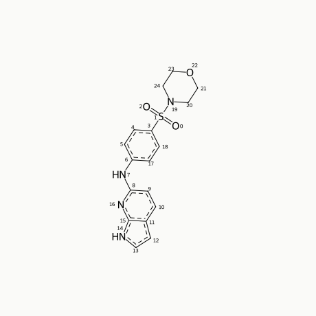 O=S(=O)(c1ccc(Nc2ccc3cc[nH]c3n2)cc1)N1CCOCC1